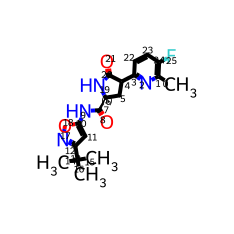 Cc1nc(C2C[C@@H](C(=O)Nc3cc(C(C)(C)C)no3)NC2=O)ccc1F